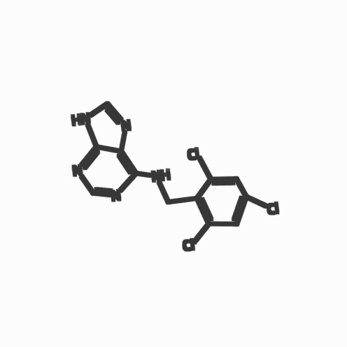 Clc1cc(Cl)c(CNc2ncnc3[nH]cnc23)c(Cl)c1